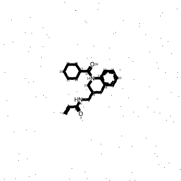 C=CC(=O)NCC1Cc2ccccc2N(C(=O)C2CCCCC2)C1